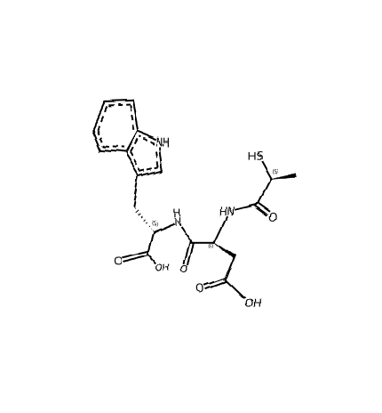 C[C@H](S)C(=O)N[C@@H](CC(=O)O)C(=O)N[C@@H](Cc1c[nH]c2ccccc12)C(=O)O